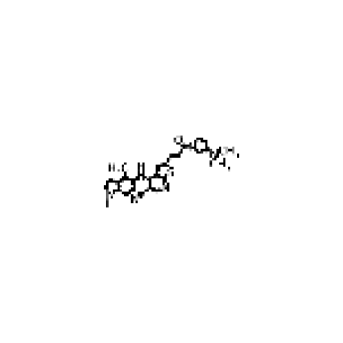 Cc1c(Nc2c(C#N)cnc3sc(C=CC(=O)N4CC[C@H](N(C)C)C4)cc23)ccc2[nH]ccc12